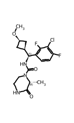 CO[C@H]1C[C@@H]([C@H](NC(=O)N2CCNC(=O)[C@H]2C)c2ccc(F)c(Cl)c2F)C1